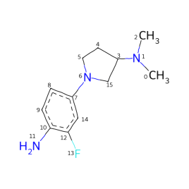 CN(C)C1CCN(c2ccc(N)c(F)c2)C1